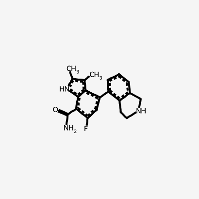 Cc1[nH]c2c(C(N)=O)c(F)cc(-c3cccc4c3CCNC4)c2c1C